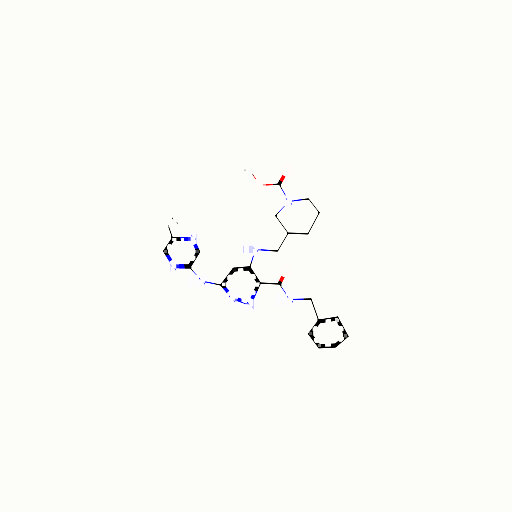 CC(C)(C)OC(=O)N1CCCC(CNc2cc(Nc3cnc(C#N)cn3)nnc2C(=O)NCc2ccccc2)C1